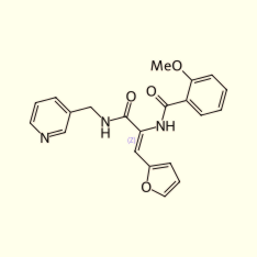 COc1ccccc1C(=O)N/C(=C\c1ccco1)C(=O)NCc1cccnc1